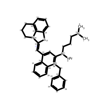 CCCN(CCCN(C)C)c1cc(/C=C2\Sc3cccc4c3N2CCC4)c2ccccc2[n+]1Cc1ccccc1